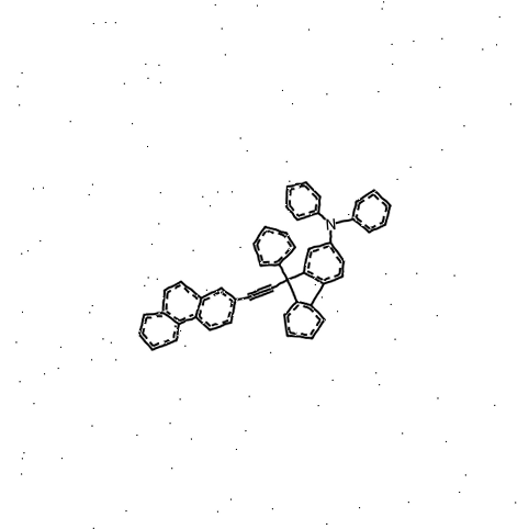 C(#CC1(c2ccccc2)c2ccccc2-c2ccc(N(c3ccccc3)c3ccccc3)cc21)c1ccc2c(ccc3ccccc32)c1